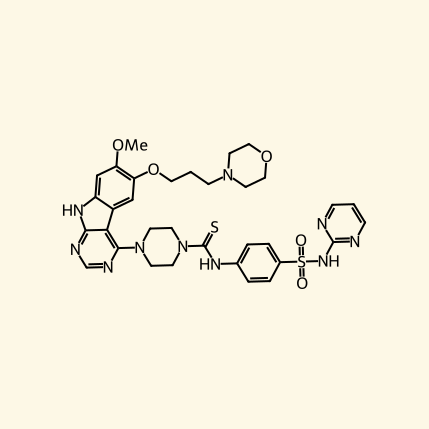 COc1cc2[nH]c3ncnc(N4CCN(C(=S)Nc5ccc(S(=O)(=O)Nc6ncccn6)cc5)CC4)c3c2cc1OCCCN1CCOCC1